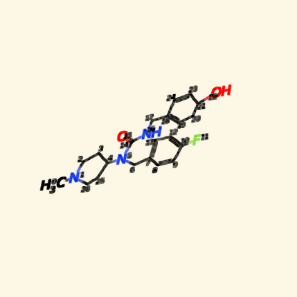 CN1CCC(N(Cc2ccc(F)cc2)C(=O)NCC2=CCC(O)C=C2)CC1